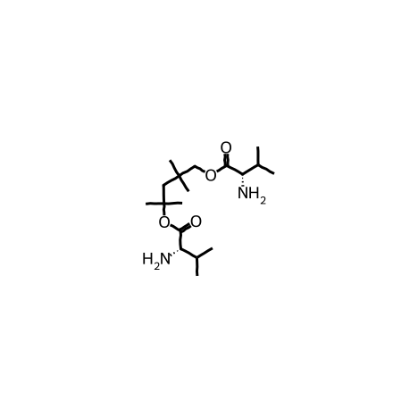 CC(C)[C@H](N)C(=O)OCC(C)(C)CC(C)(C)OC(=O)[C@@H](N)C(C)C